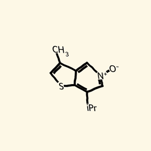 Cc1csc2c(C(C)C)c[n+]([O-])cc12